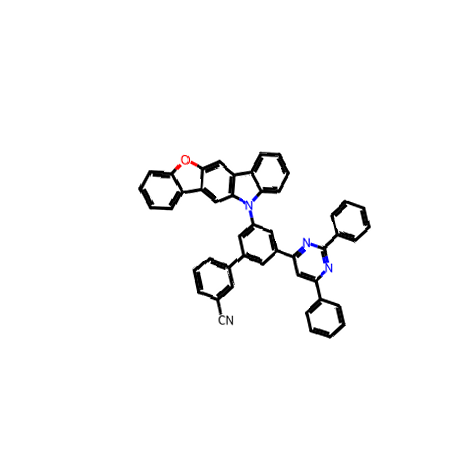 N#Cc1cccc(-c2cc(-c3cc(-c4ccccc4)nc(-c4ccccc4)n3)cc(-n3c4ccccc4c4cc5oc6ccccc6c5cc43)c2)c1